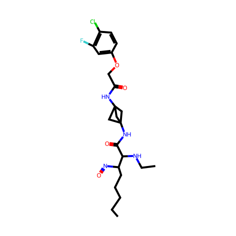 CCCCCC(N=O)C(NCC)C(=O)NC12CC(NC(=O)COc3ccc(Cl)c(F)c3)(C1)C2